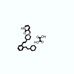 O=C(O)C(=O)O.O=c1[nH]cccc1CN1CCC(C=Cc2ccccc2CCC2CCCCC2)CC1